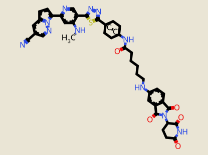 CNc1cc(-c2ccc3cc(C#N)cnn23)ncc1-c1nnc(C23CCC(NC(=O)CCCCCNc4ccc5c(c4)C(=O)N(C4CCC(=O)NC4=O)C5=O)(CC2)CC3)s1